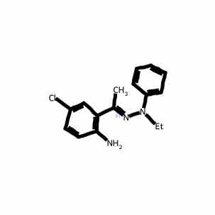 CCN(/N=C(\C)c1cc(Cl)ccc1N)c1ccccc1